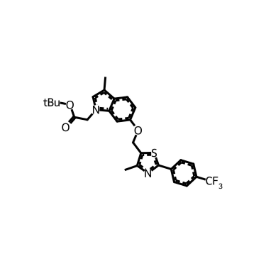 Cc1nc(-c2ccc(C(F)(F)F)cc2)sc1COc1ccc2c(C)cn(CC(=O)OC(C)(C)C)c2c1